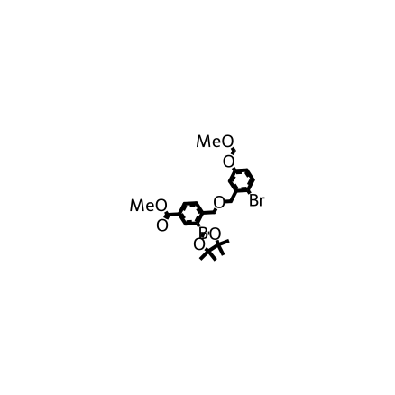 COCOc1ccc(Br)c(COCc2ccc(C(=O)OC)cc2B2OC(C)(C)C(C)(C)O2)c1